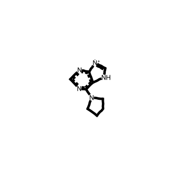 C1=[N+]c2ncnc(N3CCCC3)c2N1